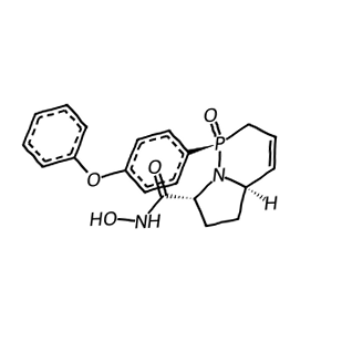 O=C(NO)[C@H]1CC[C@@H]2C=CC[P@](=O)(c3ccc(Oc4ccccc4)cc3)N12